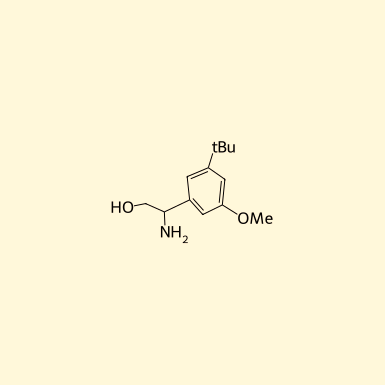 COc1cc(C(N)CO)cc(C(C)(C)C)c1